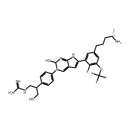 C[C@H](N)CCCc1cc(OC(F)(F)F)c(F)c(-c2cc3c([nH]2)=NC(O)N(c2ccc(C(CO)CNC(=N)N)cc2)C=3)c1